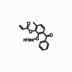 C=CC(=O)Oc1c(C)ccc(C(=O)c2ccccc2)c1OCCCCCC